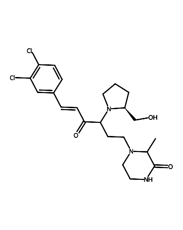 CC1C(=O)NCCN1CCC(C(=O)/C=C/c1ccc(Cl)c(Cl)c1)N1CCC[C@H]1CO